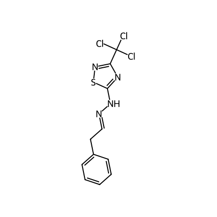 ClC(Cl)(Cl)c1nsc(NN=CCc2ccccc2)n1